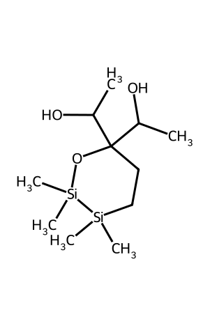 CC(O)C1(C(C)O)CC[Si](C)(C)[Si](C)(C)O1